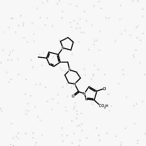 Cc1ccc(CN2CCN(C(=O)n3cc(Cl)c(C(=O)O)n3)CC2)c(N2CCCC2)c1